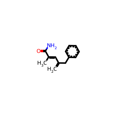 C=C(/C=C(\C)C(N)=O)Cc1ccccc1